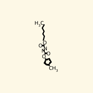 CCCCCCCOC(=O)/N=N/C(=O)Oc1ccc(C)cc1